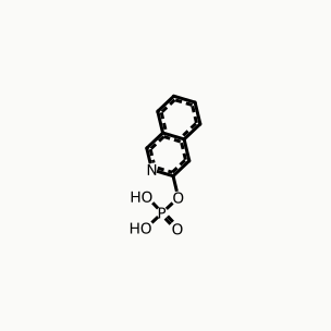 O=P(O)(O)Oc1cc2ccccc2cn1